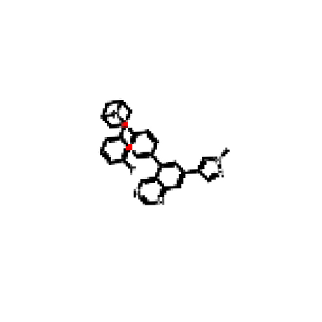 Cn1cc(-c2cc(-c3ccc(N4CC5CC(C4)N5Cc4cccc(F)c4)nc3)c3cncnc3c2)cn1